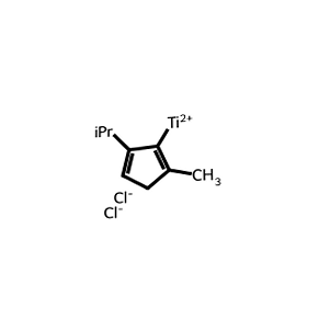 CC1=[C]([Ti+2])C(C(C)C)=CC1.[Cl-].[Cl-]